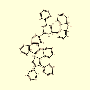 c1ccc(-c2nc(-c3cccc(-c4c(-c5ccccc5)n5nc(-c6ccccc6)c(-c6ccccc6)c5c5ccccc45)c3)nc(-c3cccc4oc5ccccc5c34)n2)cc1